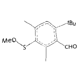 COSc1c(C)cc(C(C)(C)C)c(C=O)c1C